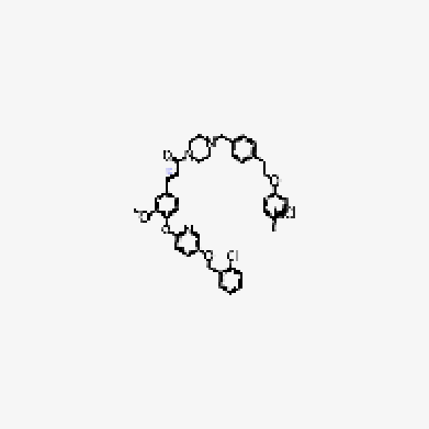 COc1cc(/C=C/C(=O)N2CCN(Cc3ccc(CCOc4ccc(C)cc4)cc3)CC2)ccc1Oc1ccc(OCc2ccccc2Cl)cn1.Cl